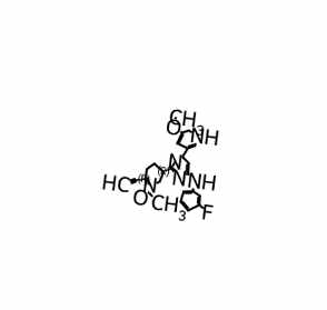 C#C[C@H]1CC[C@@H](c2nc(Nc3cccc(F)c3)cc(C3=CNCC(OC)=C3)n2)CN1C(C)=O